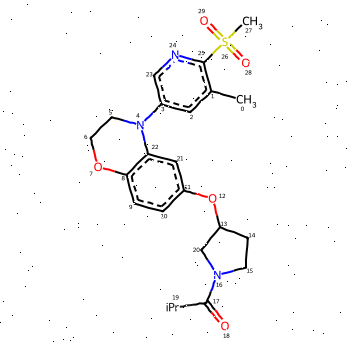 Cc1cc(N2CCOc3ccc(OC4CCN(C(=O)C(C)C)C4)cc32)cnc1S(C)(=O)=O